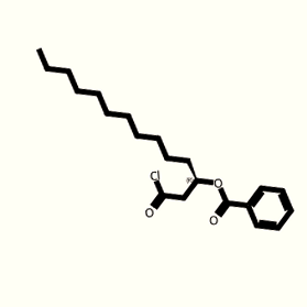 CCCCCCCCCCC[C@H](CC(=O)Cl)OC(=O)c1ccccc1